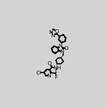 O=C(N[C@H]1CC[C@H](Cn2c(=O)n(-c3cccc(-c4nnco4)c3)c3ccccc32)CC1)c1cc(Cl)cnc1C(F)F